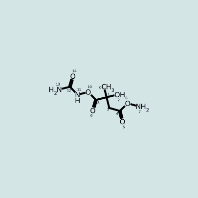 CC(O)(CC(=O)ON)C(=O)ONC(N)=O